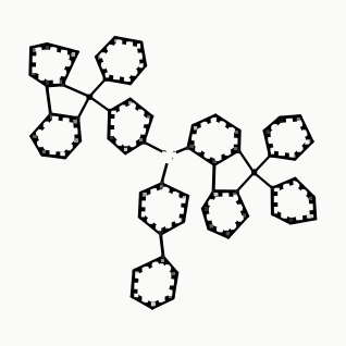 c1ccc(-c2ccc(N(c3ccc(C4(c5ccccc5)c5ccccc5-c5ccccc54)cc3)c3cccc4c3-c3ccccc3C4(c3ccccc3)c3ccccc3)cc2)cc1